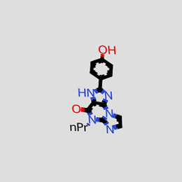 CCCn1c(=O)c2[nH]c(-c3ccc(O)cc3)nc2n2ccnc12